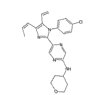 C=Cc1c(/C=C\C)nc(-c2cnc(NC3CCOCC3)cn2)n1-c1ccc(Cl)cc1